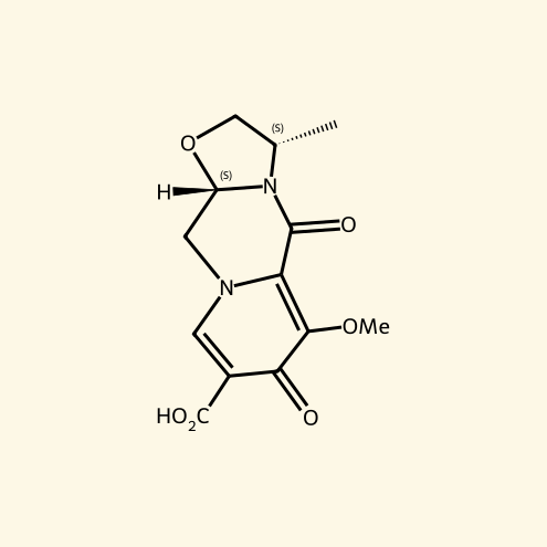 COc1c2n(cc(C(=O)O)c1=O)C[C@@H]1OC[C@H](C)N1C2=O